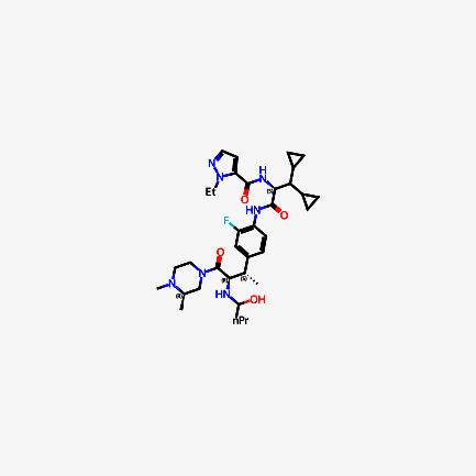 CCCC(O)N[C@@H](C(=O)N1CCN(C)[C@H](C)C1)[C@@H](C)c1ccc(NC(=O)[C@@H](NC(=O)c2ccnn2CC)C(C2CC2)C2CC2)c(F)c1